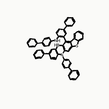 B1c2cc(-c3ccccc3)ccc2N(c2ccc(-c3ccccc3)cc2)c2cc3sc4ccccc4c3c(-c3cc(-c4ccccc4)ccc3Nc3ccc(-c4ccccc4)cc3)c21